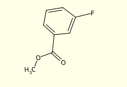 COC(=O)c1cccc(F)c1